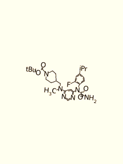 CC(C)c1ccc(N(c2cc(N(C)CC3CCN(C(=O)OC(C)(C)C)CC3)ncn2)S(N)(=O)=O)c(F)c1